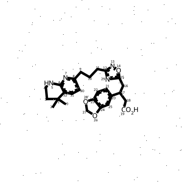 CC1(C)CCNc2nc(CCCc3noc(CC(CC(=O)O)c4ccc5c(c4)OCO5)n3)ccc21